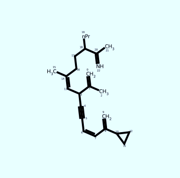 C=C(C)C(C#C/C=C\C(=C)C1CC1)/C=C(/C)CCC(CCC)C(C)=N